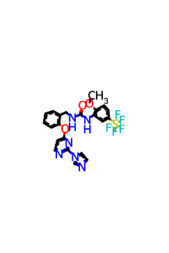 COc1ccc(S(F)(F)(F)(F)F)cc1NC(=O)NCc1ccccc1Oc1ccnc(-n2ccnc2)n1